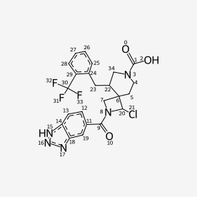 O=C(O)N1CCC2(CN(C(=O)c3ccc4[nH]nnc4c3)C2Cl)C(Cc2ccccc2C(F)(F)F)C1